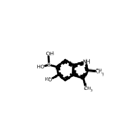 Cc1[nH]c2cc(B(O)O)c(O)cc2c1C